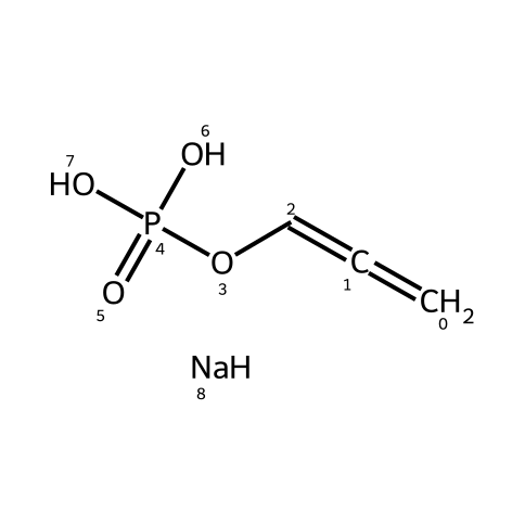 C=C=COP(=O)(O)O.[NaH]